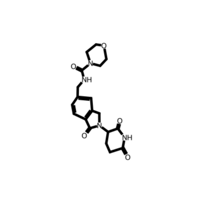 O=C1CCC(N2Cc3cc(CNC(=O)N4CCOCC4)ccc3C2=O)C(=O)N1